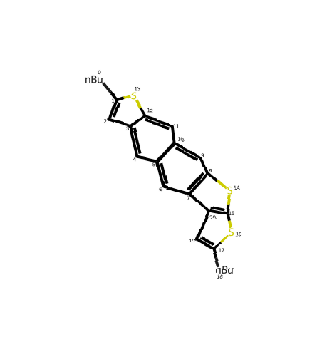 CCCCc1cc2cc3cc4c(cc3cc2s1)sc1sc(CCCC)cc14